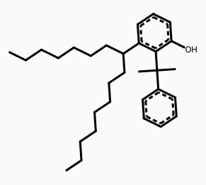 CCCCCCCCC(CCCCCCC)c1cccc(O)c1C(C)(C)c1ccccc1